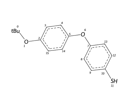 CC(C)(C)Oc1ccc(Oc2ccc(S)cc2)cc1